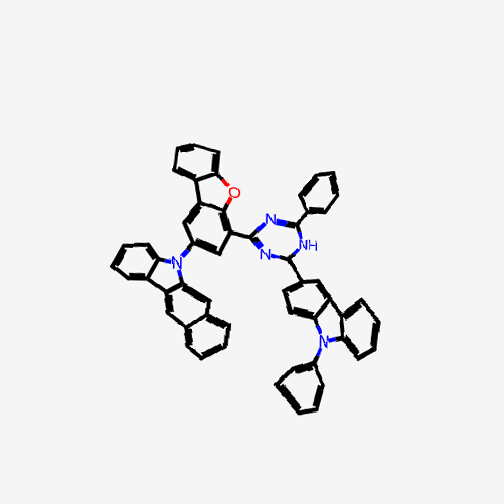 c1ccc(C2=NC(c3cc(-n4c5ccccc5c5cc6ccccc6cc54)cc4c3oc3ccccc34)=NC(c3ccc4c(c3)c3ccccc3n4-c3ccccc3)N2)cc1